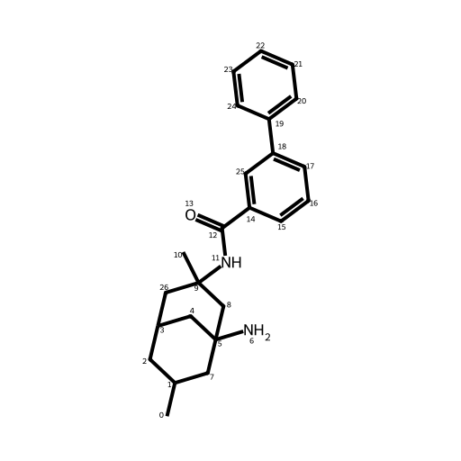 CC1CC2CC(N)(C1)CC(C)(NC(=O)c1cccc(-c3ccccc3)c1)C2